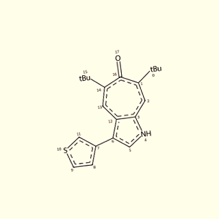 CC(C)(C)c1cc2[nH]cc(-c3ccsc3)c2cc(C(C)(C)C)c1=O